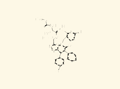 Cc1nc(C(F)(F)F)ccc1Cn1c(=O)c(-c2ccccc2)c(-c2ccc(Cl)cc2)c2nnc([C@H](C)OC(=O)[C@@H](NC(=O)OC(C)(C)C)C(C)C)n21